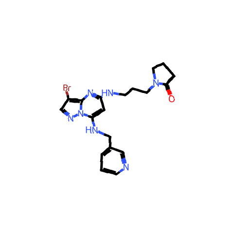 O=C1CCCN1CCCNc1cc(NCc2cccnc2)n2ncc(Br)c2n1